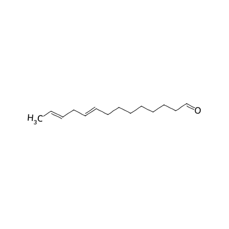 CC=CCC=CCCCCCCCC=O